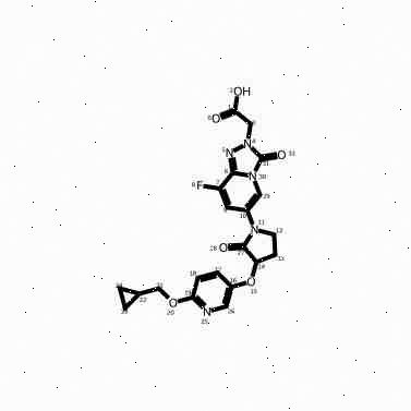 O=C(O)Cn1nc2c(F)cc(N3CCC(Oc4ccc(OCC5CC5)nc4)C3=O)cn2c1=O